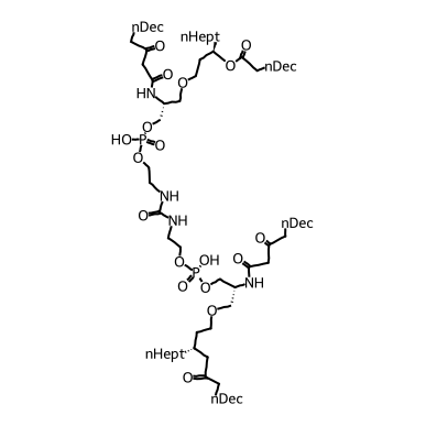 CCCCCCCCCCCC(=O)CC(=O)N[C@H](COCC[C@@H](CCCCCCC)CC(=O)CCCCCCCCCCC)COP(=O)(O)OCCNC(=O)NCCOP(=O)(O)OC[C@@H](COCC[C@@H](CCCCCCC)OC(=O)CCCCCCCCCCC)NC(=O)CC(=O)CCCCCCCCCCC